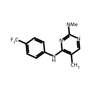 CNc1ncc(C)c(Nc2ccc(C(F)(F)F)cc2)n1